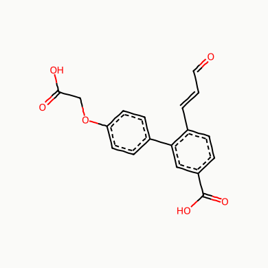 O=CC=Cc1ccc(C(=O)O)cc1-c1ccc(OCC(=O)O)cc1